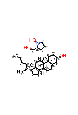 CC(C)CCCC(C)[C@H]1CC[C@H]2[C@@H]3CC=C4C[C@@H](O)CC[C@]4(C)[C@H]3CC[C@]12C.OC[C@@H]1CCCN1O